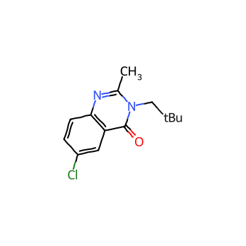 Cc1nc2ccc(Cl)cc2c(=O)n1CC(C)(C)C